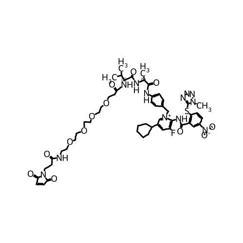 CC(C)[C@H](NC(=O)CCOCCOCCOCCOCCNC(=O)CCN1C(=O)C=CC1=O)C(=O)N[C@@H](C)C(=O)Nc1ccc(C[n+]2cc(C3CCCCC3)cc(F)c2NC(=O)c2cc([N+](=O)[O-])ccc2Sc2nnnn2C)cc1